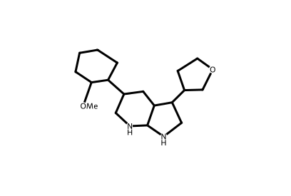 COC1CCCCC1C1CNC2NCC(C3CCOC3)C2C1